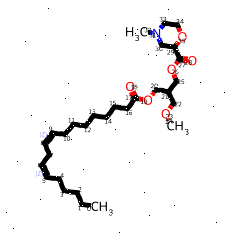 CCCCC/C=C\C/C=C\CCCCCCCC(=O)OCC(COC)COC(=O)C1CN(C)CCO1